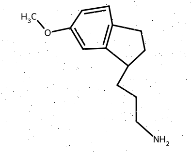 COc1ccc2c(c1)C(CCCN)CC2